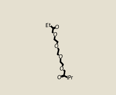 CCC(=O)COCCOCCOCCOCC(=O)C(C)C